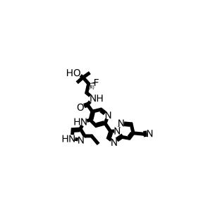 CCc1n[nH]cc1Nc1cc(-c2cnc3cc(C#N)cnn23)ncc1C(=O)NC[C@@H](F)C(C)(C)O